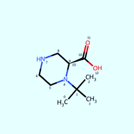 CC(C)(C)N1CCNC[C@H]1C(=O)O